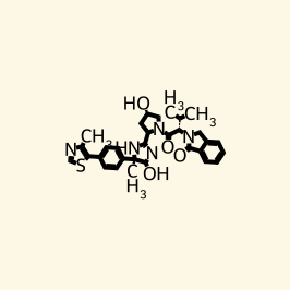 Cc1ncsc1-c1ccc([C@]2(C)NC(C3C[C@@H](O)CN3C(=O)[C@H](C(C)C)N3Cc4ccccc4C3=O)=NC2O)cc1